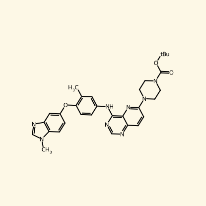 Cc1cc(Nc2ncnc3ccc(N4CCN(C(=O)OC(C)(C)C)CC4)nc23)ccc1Oc1ccc2c(c1)ncn2C